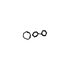 C1=CCCCCC=C1.c1ccc(-c2ccccc2)cc1